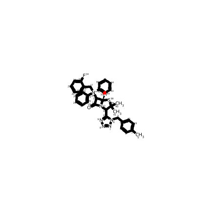 Cc1ccc(Cn2nnnc2C2N3C(=O)C([N+](Cc4ccccc4F)(c4ccccc4)c4ccccc4)[C@@H]3SC2(C)C)cc1